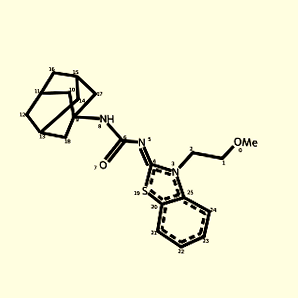 COCCn1c(=NC(=O)NC23CC4CC(CC(C4)C2)C3)sc2ccccc21